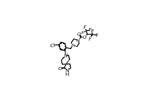 O=C(OC(C(F)(F)F)C(F)(F)F)N1CCN(Cc2ccc(Cl)cc2N2CCC3(CCNC3=O)CC2)CC1